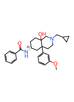 COc1cccc(C23CCN(CC4CC4)CC2(O)CC[C@@H](NC(=O)c2ccccc2)C3)c1